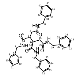 O=C(CC(C(=O)NCc1ccccc1)C(CC(=O)NCc1ccccc1)C(=O)NCc1ccccc1)NCc1ccccc1